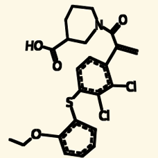 C=C(C(=O)N1CCCC(C(=O)O)C1)c1ccc(Sc2ccccc2OCC)c(Cl)c1Cl